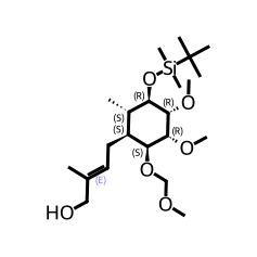 COCO[C@H]1[C@@H](C/C=C(\C)CO)[C@H](C)[C@@H](O[Si](C)(C)C(C)(C)C)[C@H](OC)[C@@H]1OC